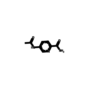 CC(=O)Nc1ccc(C(N)=O)nc1